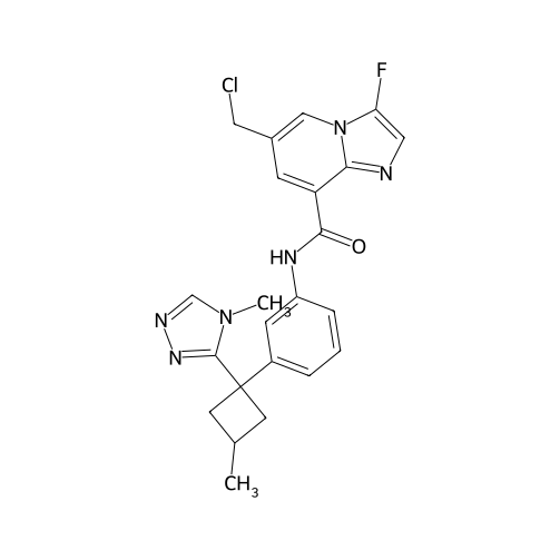 CC1CC(c2cccc(NC(=O)c3cc(CCl)cn4c(F)cnc34)c2)(c2nncn2C)C1